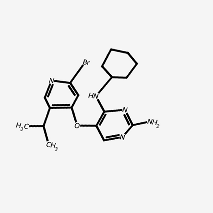 CC(C)c1cnc(Br)cc1Oc1cnc(N)nc1NC1CCCCC1